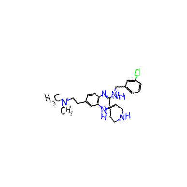 CN(C)CCc1ccc2c(c1)NC1(CCNCC1)C(NCc1cccc(Cl)c1)=N2